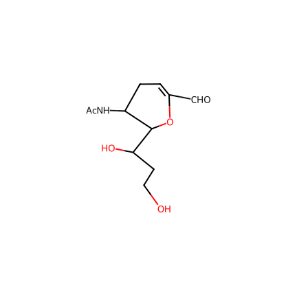 CC(=O)NC1CC=C(C=O)OC1C(O)CCO